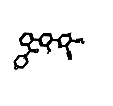 N#Cc1nc(-c2ccc(-c3ccccc3C(=O)N3CCOCC3)cc2F)cnc1N